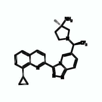 C[C@@]1(N)CCN([C@H](c2ccc3nnc(-c4ccc5cccc(C6CC6)c5n4)n3c2)C(F)(F)F)C1